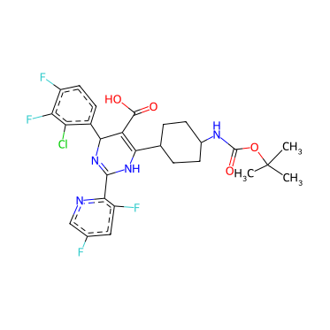 CC(C)(C)OC(=O)NC1CCC(C2=C(C(=O)O)C(c3ccc(F)c(F)c3Cl)N=C(c3ncc(F)cc3F)N2)CC1